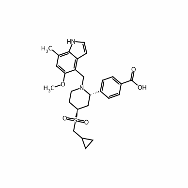 COc1cc(C)c2[nH]ccc2c1CN1CC[C@H](S(=O)(=O)CC2CC2)C[C@H]1c1ccc(C(=O)O)cc1